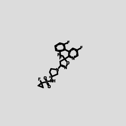 O=S(=O)(N[C@H]1CCN(C2=NOC(CF)(c3ncc(F)cc3-c3c(F)cccc3F)C2)C1)C1(F)CC1